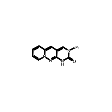 CC(C)N1C=C2C=C3C=CC=CN3N=C2NC1=O